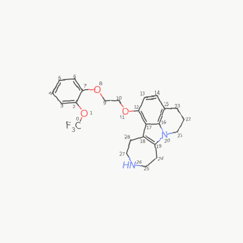 FC(F)(F)Oc1ccccc1OCCOc1ccc2c3c1c1c(n3CCC2)CCNCC1